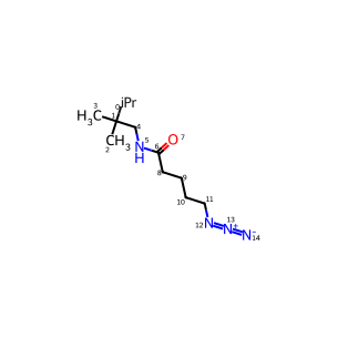 CC(C)C(C)(C)CNC(=O)CCCCN=[N+]=[N-]